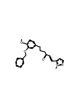 COc1ccc(CCCC(=O)/C=C/c2ccnn2C)cc1OCc1ccccc1